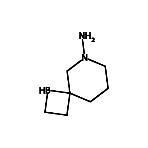 NN1CCCC2(BCC2)C1